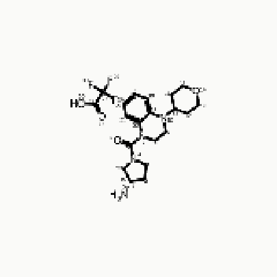 N[C@H]1CCN(C(=O)N2CCN(C3CCOCC3)c3ccccc32)C1.O=C(O)C(F)(F)F